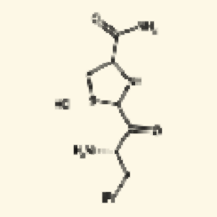 CC(C)C[C@H](N)C(=O)C1NC(C(N)=O)CS1.Cl